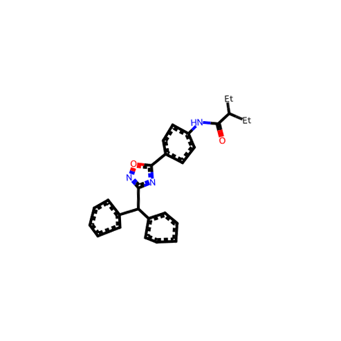 CCC(CC)C(=O)Nc1ccc(-c2nc(C(c3ccccc3)c3ccccc3)no2)cc1